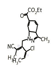 C/C=C(Cl)\C(CN1N=C(C)C2C=CC(C(=O)C(=O)OCC)=CC21)=C(/C)C#N